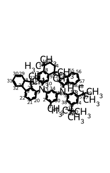 Cc1cc(N(c2ccc3c(c2)C(C)(C)CCC3(C)C)c2cccc3c2C(C)(C)C2C=CC=CC32)cc(N(c2cc(C(C)(C)C)cc(C(C)(C)C)c2)c2coc3ccccc23)c1